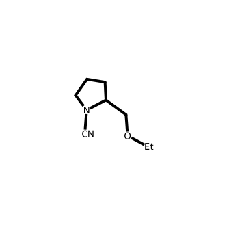 CCOCC1CCCN1C#N